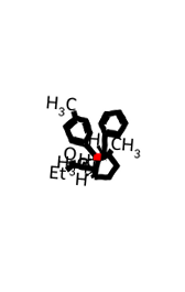 CCC(=O)[C@@H]1C2CCC(C)(CN2C)[C@@H](c2ccccc2)[C@@H]1c1ccc(C)cc1